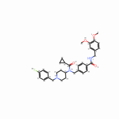 COc1ccc(CNC(=O)c2ccc(CN(C(=O)C3CC3)C3CCN(Cc4ccc(F)cc4)CC3)cc2)cc1OC